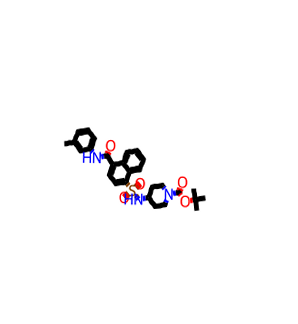 Cc1cccc(NC(=O)c2ccc(S(=O)(=O)NC3CCN(C(=O)OC(C)(C)C)CC3)c3ccccc23)c1